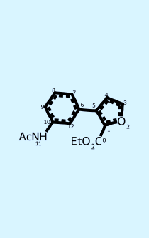 CCOC(=O)c1occc1-c1cccc(NC(C)=O)c1